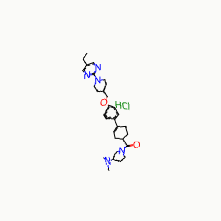 CCc1cnc(N2CCC(COc3ccc(C4=CCC(C(=O)N5CC[C@H](N(C)C)C5)CC4)cc3)CC2)nc1.Cl